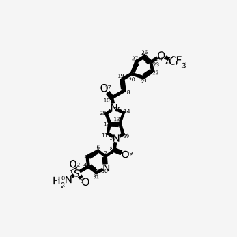 NS(=O)(=O)c1ccc(C(=O)N2CC3=C(CN(C(=O)C=Cc4ccc(OC(F)(F)F)cc4)C3)C2)nc1